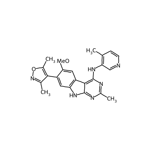 COc1cc2c(cc1-c1c(C)noc1C)[nH]c1nc(C)nc(Nc3cnccc3C)c12